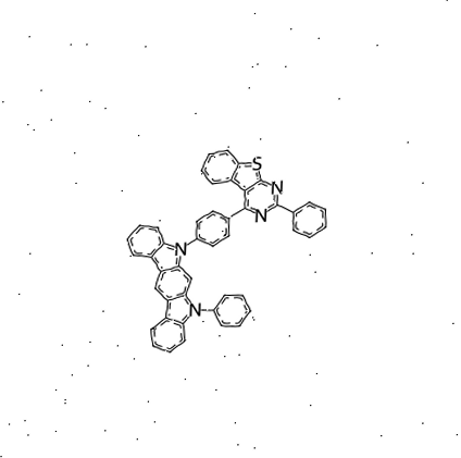 c1ccc(-c2nc(-c3ccc(-n4c5ccccc5c5cc6c7ccccc7n(-c7ccccc7)c6cc54)cc3)c3c(n2)sc2ccccc23)cc1